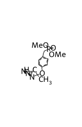 COP(=O)(Cc1ccc(OC(C)(C)N=[N+]=[N-])cc1)OC